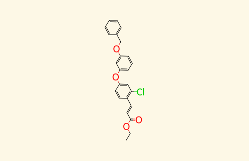 CCOC(=O)C=Cc1ccc(Oc2cccc(OCc3ccccc3)c2)cc1Cl